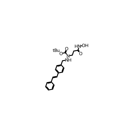 CC(C)(C)OC(=O)N(CCC(=O)NO)NCc1ccc(C=Cc2ccccc2)cc1